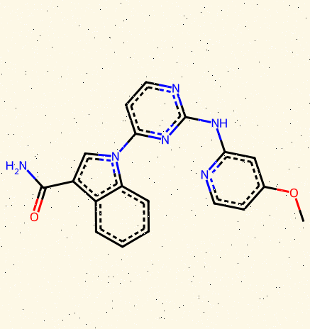 COc1ccnc(Nc2nccc(-n3cc(C(N)=O)c4ccccc43)n2)c1